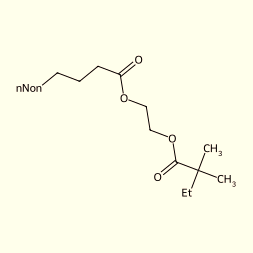 CCCCCCCCCCCCC(=O)OCCOC(=O)C(C)(C)CC